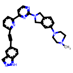 CN1CCN(c2ccc3c(c2)CN(c2nccc(-c4cccc(C#Cc5ccc6[nH]ncc6c5)n4)n2)C3)CC1